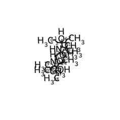 CCCC(O)(CCC)[C@H](NC(=O)CC(=O)N[C@H](C(C)(C)C)C(O)(CCC)CCC)C(C)(C)C